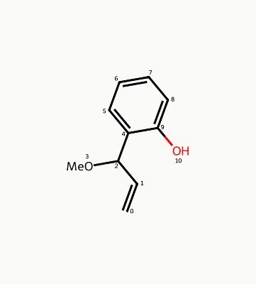 C=CC(OC)c1ccccc1O